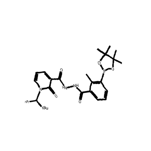 CCCC(n1cccc(C(=O)NNC(=O)c2cccc(B3OC(C)(C)C(C)(C)O3)c2C)c1=O)C(C)(C)C